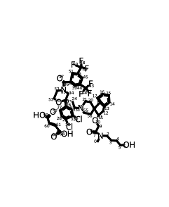 CN(CCCCO)C(=O)CO[C@H]1Cc2ccccc2C12CCN(CC[C@@]1(c3ccc(Cl)c(Cl)c3)CN(C(=O)c3cc(C(F)(F)F)cc(C(F)(F)F)c3)CCO1)CC2.O=C(O)C=CC(=O)O